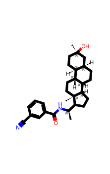 C[C@@H](NC(=O)c1cccc(C#N)c1)C1CC[C@H]2[C@@H]3CC[C@@H]4C[C@](C)(O)CC[C@@H]4[C@H]3CC[C@]12C